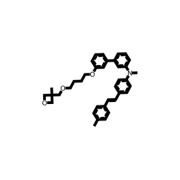 Cc1ccc(/C=C/c2ccc(N(C)c3cccc(-c4cccc(OCCCCOCC5(C)COC5)c4)c3)cc2)cc1